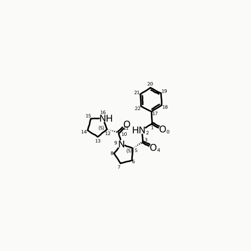 O=C(NC(=O)[C@@H]1CCCN1C(=O)[C@@H]1CCCN1)c1ccccc1